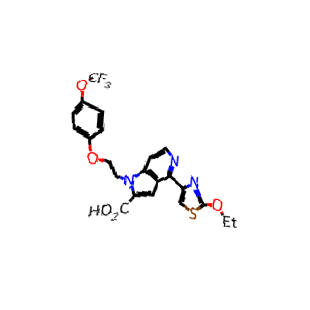 CCOc1nc(-c2nccc3c2cc(C(=O)O)n3CCOc2ccc(OC(F)(F)F)cc2)cs1